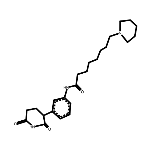 O=C1CCC(c2cccc(NC(=O)CCCCCCCN3CCCCC3)c2)C(=O)N1